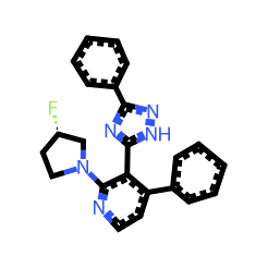 F[C@H]1CCN(c2nccc(-c3ccccc3)c2-c2nc(-c3ccccc3)n[nH]2)C1